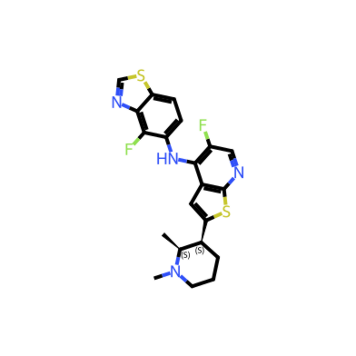 C[C@H]1[C@@H](c2cc3c(Nc4ccc5scnc5c4F)c(F)cnc3s2)CCCN1C